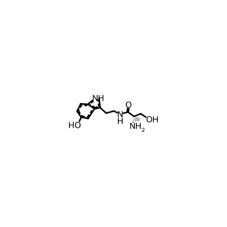 N[C@@H](CO)C(=O)NCCc1c[nH]c2ccc(O)cc12